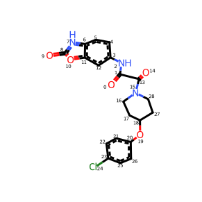 O=C(Nc1ccc2[nH]c(=O)oc2c1)C(=O)N1CCC(Oc2ccc(Cl)cc2)CC1